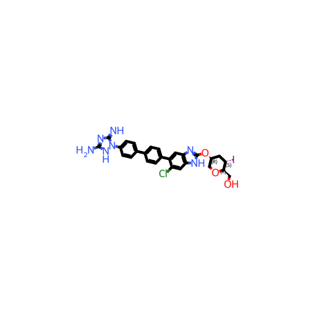 N=c1nc(N)[nH]n1-c1ccc(-c2ccc(-c3cc4nc(O[C@H]5CO[C@H](CO)[C@@H](I)C5)[nH]c4cc3Cl)cc2)cc1